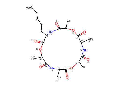 CNCCCCC1NC(=O)C(C)OC(=O)C(C(C)C)NC(=O)C(C)OC(=O)C(C(C)C)NC(=O)C(C(C)C)OC1=O